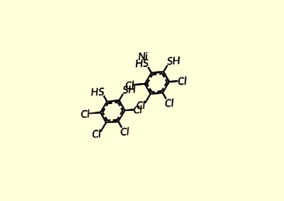 Sc1c(S)c(Cl)c(Cl)c(Cl)c1Cl.Sc1c(S)c(Cl)c(Cl)c(Cl)c1Cl.[Ni]